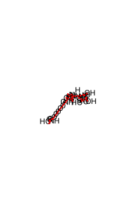 CC[C@@H](NC(=O)CCOCCOCCOCCOCCOCCC(=O)NCCC(=O)N1Cc2ccccc2-c2c(nnn2CCCNC(=O)CN2CCN(CC(=O)O)CCN(CC(=O)O)CCN(CC(=O)O)CC2)-c2ccccc21)C(=O)O